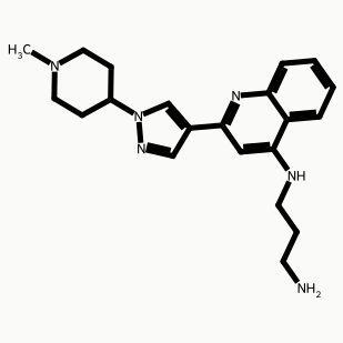 CN1CCC(n2cc(-c3cc(NCCCN)c4ccccc4n3)cn2)CC1